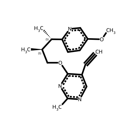 C#Cc1cnc(C)nc1OC[C@@H](C)[C@H](C)c1ccc(OC)cn1